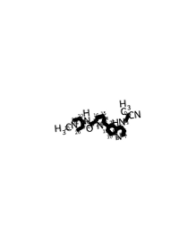 CC(C#N)CNc1ccnc2ccc(-c3cccc(C(=O)NC4CCN(C)CC4)n3)cc12